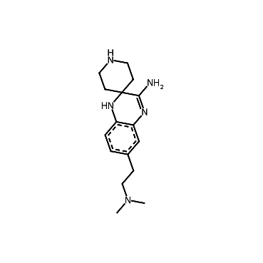 CN(C)CCc1ccc2c(c1)N=C(N)C1(CCNCC1)N2